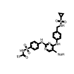 CCC(=O)NS(=O)(=O)c1ccc(Nc2ncc(C)c(Nc3ccc(CNS(=O)(=O)C4CC4)cc3)n2)cc1.[NaH]